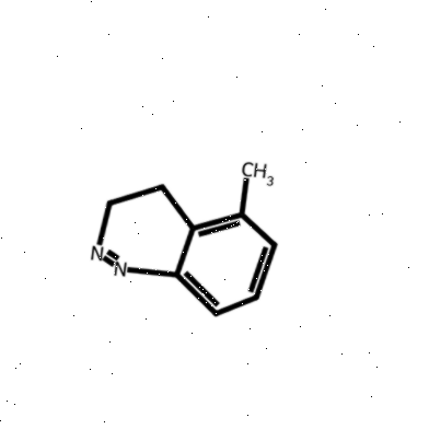 Cc1cccc2c1CCN=N2